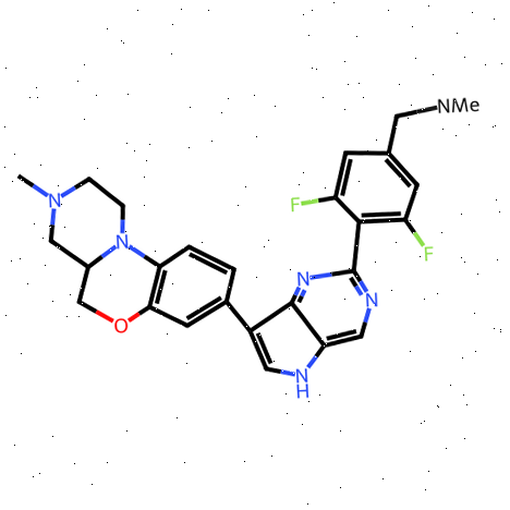 CNCc1cc(F)c(-c2ncc3[nH]cc(-c4ccc5c(c4)OCC4CN(C)CCN54)c3n2)c(F)c1